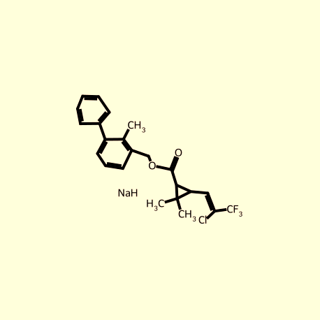 Cc1c(COC(=O)C2C(/C=C(\Cl)C(F)(F)F)C2(C)C)cccc1-c1ccccc1.[NaH]